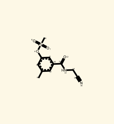 Cc1cc(OS(C)(=O)=O)cc(C(=O)NCC#N)c1